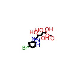 O=COC(O)[C@@H](O)[C@H](O)C(O)c1nc2cc(Br)ccc2[nH]1